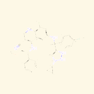 BC(Nc1cc(Cl)c2ncc(C#N)c(N[C@H](COC)c3ccccc3)c2c1)(C1=CN(C2CC2)NN1)c1ccc(F)cc1